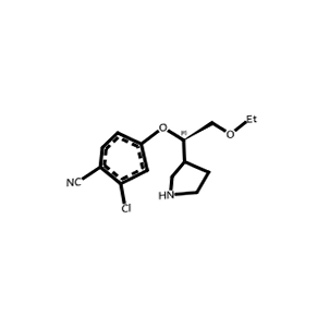 CCOC[C@H](Oc1ccc(C#N)c(Cl)c1)C1CCNC1